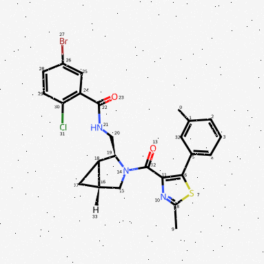 Cc1cccc(-c2sc(C)nc2C(=O)N2C[C@@H]3CC3[C@H]2CNC(=O)c2cc(Br)ccc2Cl)c1